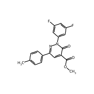 COC(=O)c1cc(-c2ccc(C)cc2)nn(-c2cc(F)cc(F)c2)c1=O